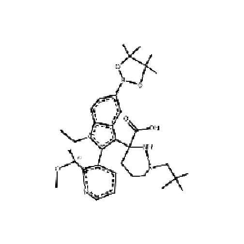 CCn1c(-c2cccnc2[C@H](C)OC)c(C2(C(=O)O)CCCN(CC(C)(C)C)N2)c2cc(B3OC(C)(C)C(C)(C)O3)ccc21